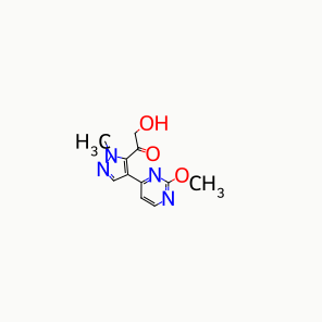 COc1nccc(-c2cnn(C)c2C(=O)CO)n1